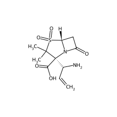 C=CC(N)[C@@]1(C(=O)O)N2C(=O)C[C@H]2S(=O)(=O)C1(C)C